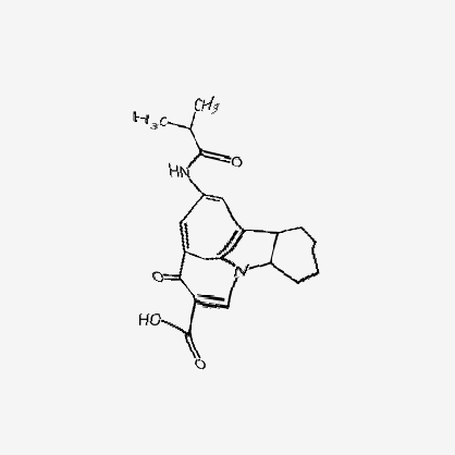 CC(C)C(=O)Nc1cc2c3c(c1)c(=O)c(C(=O)O)cn3C1CCCCC21